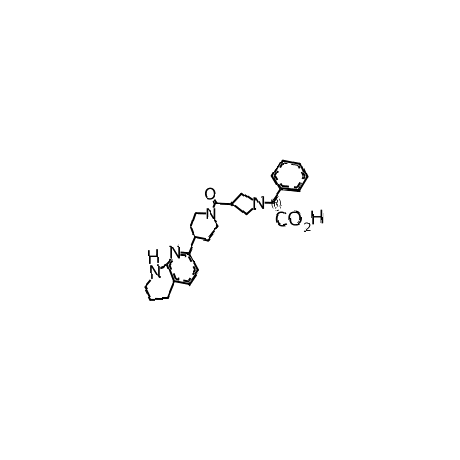 O=C(O)[C@@H](c1ccccc1)N1CC(C(=O)N2CCC(c3ccc4c(n3)NCCC4)CC2)C1